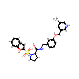 O=C(NCc1cccc(OCc2cncc(C(F)(F)F)c2)c1)C1CCCN1S(=O)(=O)c1cc2ccccc2o1